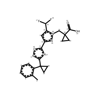 Cc1ccccc1C1(c2noc(-c3cc(C(F)F)n(CC4(C(=O)O)CC4)n3)n2)CC1